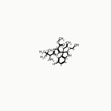 C=CC[C@]1(c2oc([C@@H](N)C(C)(C)C)nc2C(=O)OC)c2cc(F)ccc2N[C@@H]1OCO